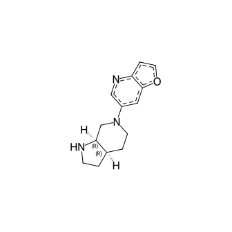 c1cc2ncc(N3CC[C@H]4CCN[C@H]4C3)cc2o1